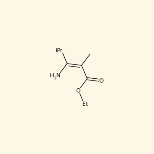 CCOC(=O)C(C)=C(N)C(C)C